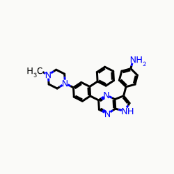 CN1CCN(c2ccc(-c3cnc4[nH]cc(-c5ccc(N)cc5)c4n3)c(-c3ccccc3)c2)CC1